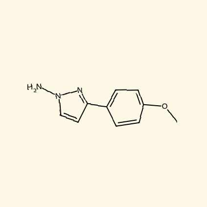 COc1ccc(-c2ccn(N)n2)cc1